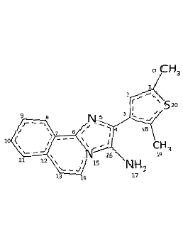 Cc1cc(-c2nc3c4ccccc4ccn3c2N)c(C)s1